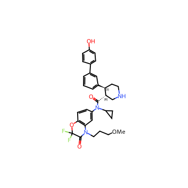 COCCCN1C(=O)C(F)(F)Oc2ccc(N(C(=O)[C@H]3CNCC[C@@H]3c3cccc(-c4ccc(O)cc4)c3)C3CC3)cc21